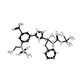 CCN(c1cc(C(=O)O)cc(-c2nnc([C@](C)(Cc3ccccc3)NC(=O)OC(C)(C)C)o2)c1)S(C)(=O)=O